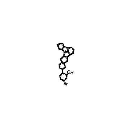 Oc1cc(Br)ccc1-c1ccc2cc3c(cc2c1)c1cccc2c4ccccc4n3c21